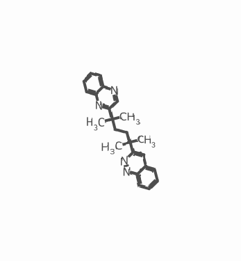 CC(C)(CCC(C)(C)c1cnc2ccccc2n1)c1cc2ccccc2nn1